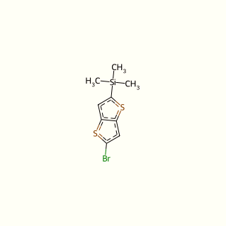 C[Si](C)(C)c1cc2sc(Br)cc2s1